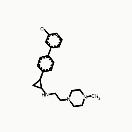 CN1CCN(CCNC2CC2c2ccc(-c3cccc(Cl)c3)cc2)CC1